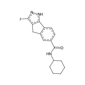 O=C(NC1CCCCC1)c1ccc2c(c1)Cc1c(I)n[nH]c1-2